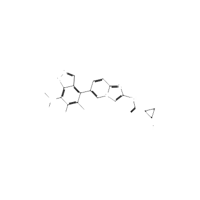 Cc1c(F)c([S+](C)[O-])c2[nH]ncc2c1-c1ccc2nc(NC(=O)[C@@H]3C[C@@H]3F)cn2c1